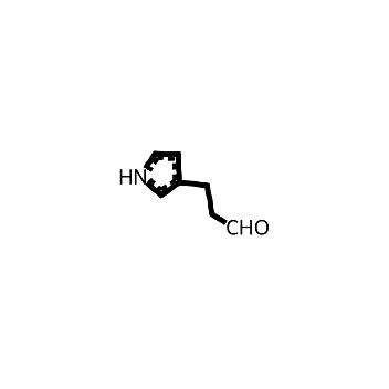 O=CCCc1cc[nH]c1